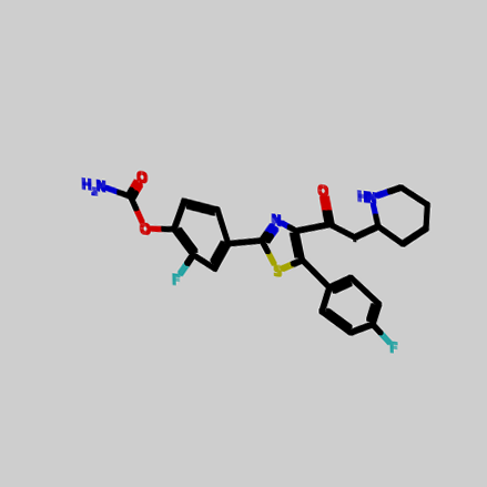 NC(=O)Oc1ccc(-c2nc(C(=O)[CH]C3CCCCN3)c(-c3ccc(F)cc3)s2)cc1F